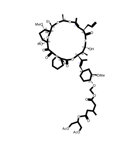 C=CC[C@@H]1/C=C(\C)C[C@H](C)C[C@H](CC)[C@H]2O[C@@](O)(C(=O)C(=O)N3CCCC[C@H]3C(=O)O[C@H](/C(C)=C/[C@@H]3CC[C@@H](OCOC(=O)CC(C)CC(=O)OC(COC(C)=O)COC(C)=O)[C@H](OC)C3)[C@H](C)[C@@H](O)CC1=O)[C@H](C)C[C@@H]2OC